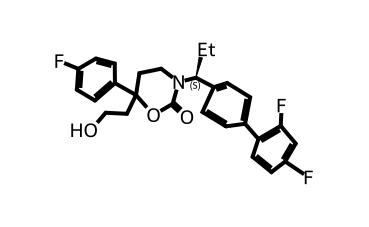 CC[C@@H](c1ccc(-c2ccc(F)cc2F)cc1)N1CCC(CCO)(c2ccc(F)cc2)OC1=O